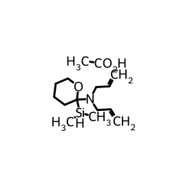 C=CCN(CC=C)C1([SiH](C)C)CCCCO1.CC(=O)O